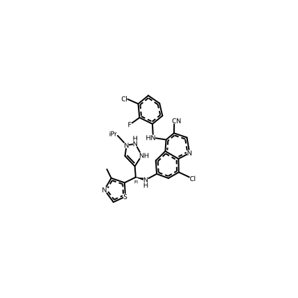 Cc1ncsc1[C@H](Nc1cc(Cl)c2ncc(C#N)c(Nc3cccc(Cl)c3F)c2c1)C1=CN(C(C)C)NN1